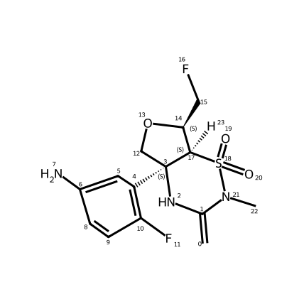 C=C1N[C@@]2(c3cc(N)ccc3F)CO[C@@H](CF)[C@H]2S(=O)(=O)N1C